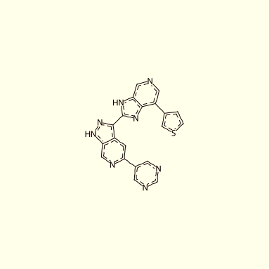 c1ncc(-c2cc3c(-c4nc5c(-c6ccsc6)cncc5[nH]4)n[nH]c3cn2)cn1